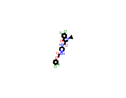 O=C(COc1ccc(Cl)c(F)c1)NN1CCC(NC(=O)c2cn(C3CC3)c3cc(Cl)c(F)cc3c2=O)CC1